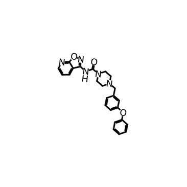 O=C(Nc1noc2ncccc12)N1CCN(Cc2cccc(Oc3ccccc3)c2)CC1